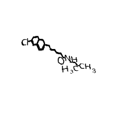 CC(C)CCNC(=O)/C=C/C=C/Cc1ccc2cc(Cl)ccc2c1